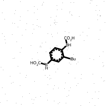 CCC(C)c1cc(BC(=O)O)ccc1BC(=O)O